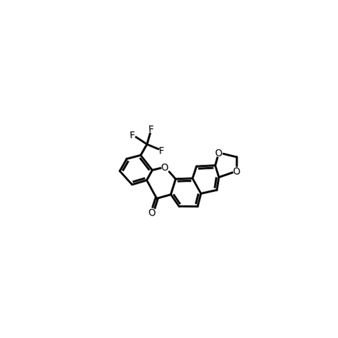 O=c1c2cccc(C(F)(F)F)c2oc2c1ccc1cc3c(cc12)OCO3